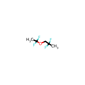 CC(F)(F)COC(C)(F)F